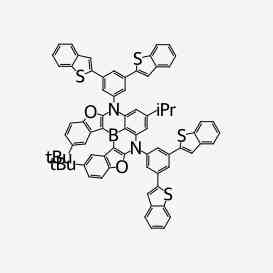 CC(C)c1cc2c3c(c1)N(c1cc(-c4cc5ccccc5s4)cc(-c4cc5ccccc5s4)c1)c1oc4ccc(C(C)(C)C)cc4c1B3c1c(oc3ccc(C(C)(C)C)cc13)N2c1cc(-c2cc3ccccc3s2)cc(-c2cc3ccccc3s2)c1